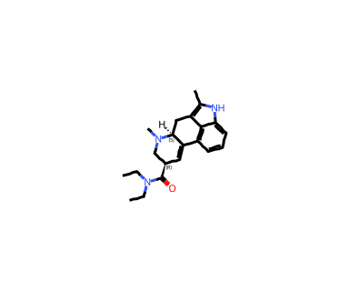 CCN(CC)C(=O)[C@@H]1C=C2c3cccc4[nH]c(C)c(c34)C[C@@H]2N(C)C1